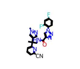 Cn1cc(C(C)(CNC(=O)c2cn(-c3ccc(F)cc3F)nn2)c2cccc(C#N)n2)cn1